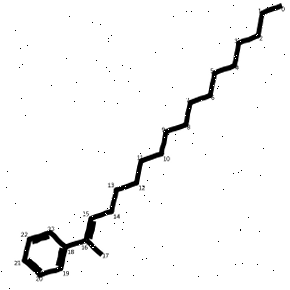 CCCCCCCCCCCCCCCC=C(C)c1ccccc1